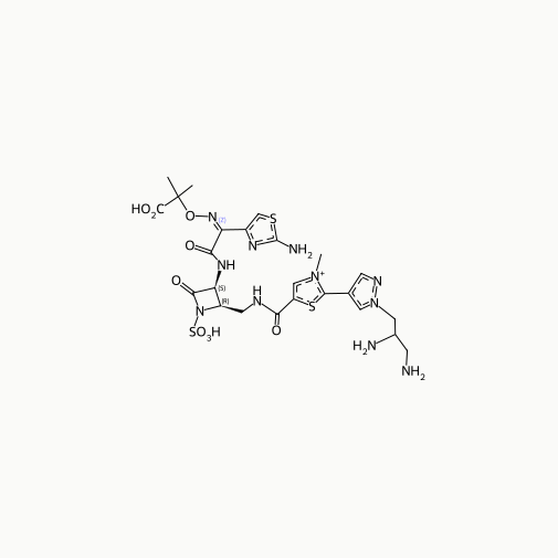 C[n+]1cc(C(=O)NC[C@@H]2[C@H](NC(=O)/C(=N\OC(C)(C)C(=O)O)c3csc(N)n3)C(=O)N2S(=O)(=O)O)sc1-c1cnn(CC(N)CN)c1